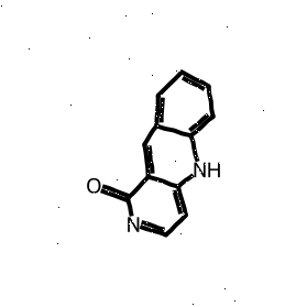 O=c1nccc2[nH]c3ccccc3cc1-2